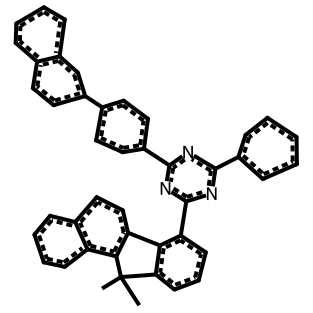 CC1(C)c2cccc(-c3nc(-c4ccccc4)nc(-c4ccc(-c5ccc6ccccc6c5)cc4)n3)c2-c2ccc3ccccc3c21